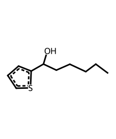 CCCCCC(O)c1cccs1